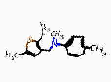 Cc1ccc(N(C)Cc2cc(C)sc2C)cc1